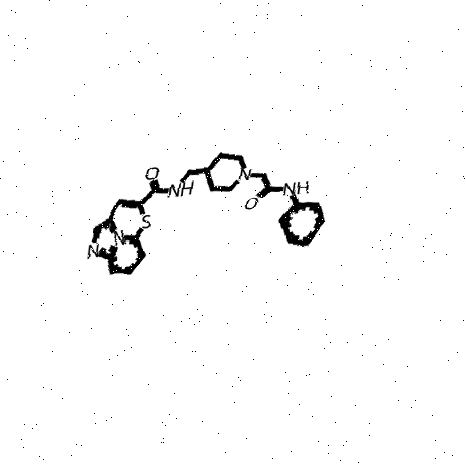 O=C(CN1CCC(CNC(=O)C2=Cc3cnc4cccc(n34)S2)CC1)Nc1ccccc1